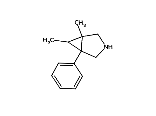 CC1C2(C)CNCC12c1ccccc1